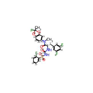 CN(C(=O)[C@H](Cc1cc(F)cc(F)c1)NC(=O)NS(=O)(=O)c1ccccc1F)c1ccc2c(c1)OC(C)(F)O2